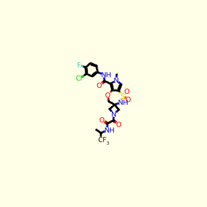 CC(NC(=O)C(=O)N1CC2(COc3c(cn(C)c3C(=O)Nc3ccc(F)c(Cl)c3)S(=O)(=O)N2)C1)C(F)(F)F